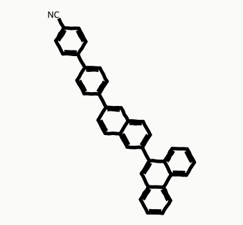 N#Cc1ccc(-c2ccc(-c3ccc4cc(-c5cc6ccccc6c6ccccc56)ccc4c3)cc2)cc1